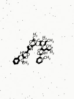 CCCN(C(=O)[C@@H](NC(=O)[C@H]1CCCCN1C)[C@@H](C)CC)[C@H](C[C@@H](OC(C)=O)c1nc(C(=O)N[C@@H](Cc2ccccc2)C(=O)OC)cs1)C(C)C